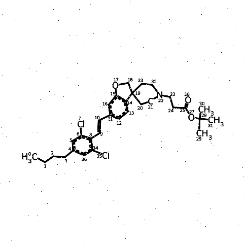 CCCCc1cc(Cl)c(/C=C/c2ccc3c(c2)OCC32CCN(CCC(=O)OC(C)(C)C)CC2)c(Cl)c1